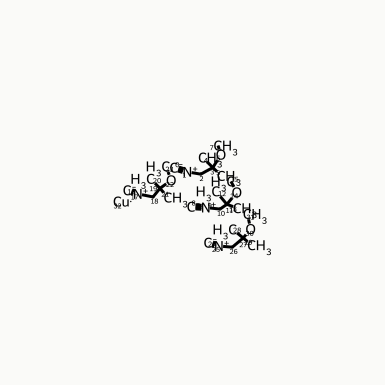 [C-]#[N+]CC(C)(C)OC.[C-]#[N+]CC(C)(C)OC.[C-]#[N+]CC(C)(C)OC.[C-]#[N+]CC(C)(C)OC.[Cu]